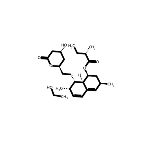 CCO.CC[C@H](C)C(=O)O[C@H]1C[C@@H](C)C=C2C=C[C@H](C)[C@H](CC[C@@H]3C[C@@H](O)CC(=O)O3)[C@H]21